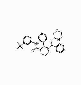 CC(C)(C)c1cccc(NC(=O)C2CCCN(C(=O)c3ccccc3N3CCOCC3)C2c2ccccc2)c1